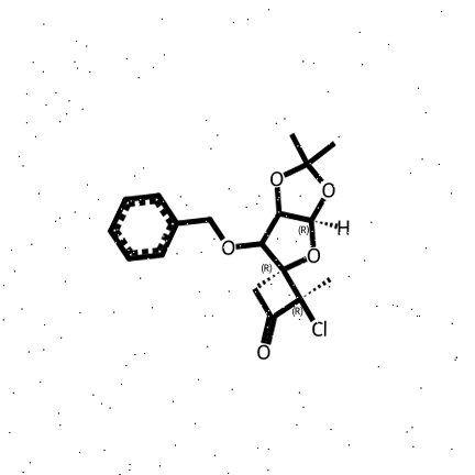 CC1(C)OC2C(OCc3ccccc3)[C@@]3(CC(=O)[C@]3(C)Cl)O[C@@H]2O1